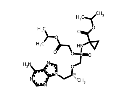 CC(C)OC(=O)COP(=O)(CO[C@H](C)Cn1cnc2c(N)ncnc21)NC1(C(=O)OC(C)C)CC1